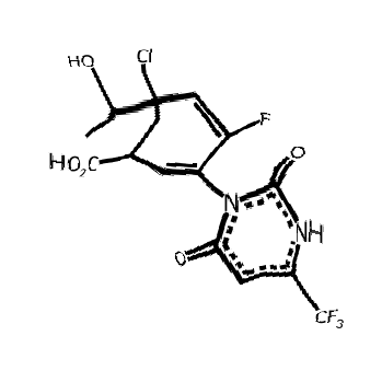 CC(O)C1(Cl)C=C(F)C(n2c(=O)cc(C(F)(F)F)[nH]c2=O)=CC1C(=O)O